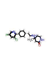 CC1(NCC[C@H]2CC[C@H](c3ncc(F)cc3Cl)CC2)CCNC(=O)C1